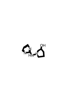 OC1CCCN(Nc2ncccn2)C1